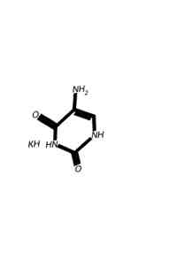 Nc1c[nH]c(=O)[nH]c1=O.[KH]